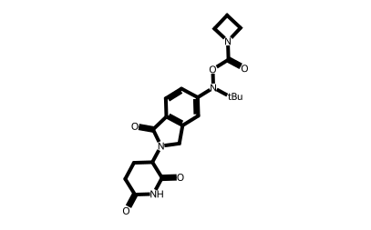 CC(C)(C)N(OC(=O)N1CCC1)c1ccc2c(c1)CN(C1CCC(=O)NC1=O)C2=O